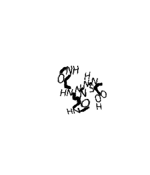 Cc1nc(Nc2nc(NCCC3CNCCO3)cc(C3CNCCO3)n2)sc1C(=O)O